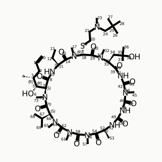 C=CC[C@@H](C)[C@@H](O)[C@H]1C(=O)N[C@@H](CC)C(=O)N(C)[C@H](SCCN(C)CC(C)(C)C)C(=O)N(C)[C@@H](CC(C)(C)O)C(=O)NC(=O)N(C)C(=O)NC(=O)N[C@@H](C)C(=O)N(C)C(=O)N(C)C(=O)N(C)[C@@H](C(C)C)C(=O)N1C